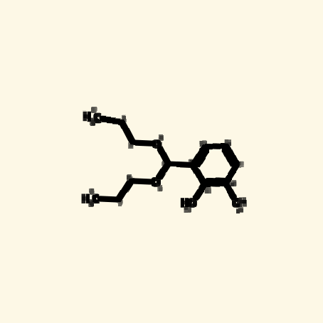 CCCOC(OCCC)c1cccc(O)c1O